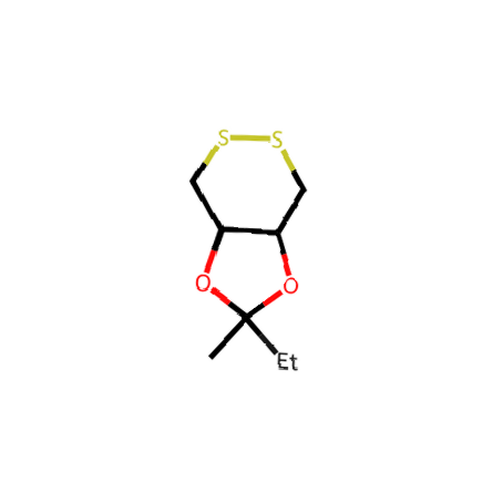 CCC1(C)OC2CSSCC2O1